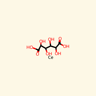 O=C(O)C(O)C(O)C(O)C(O)C(=O)O.[Ce]